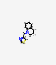 [c]1ccc2c(c1)N(Cc1cscn1)CCC2